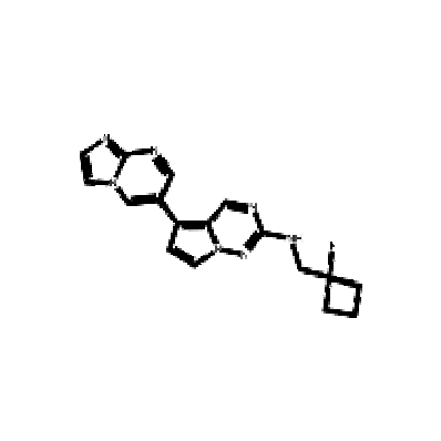 FC1(CNc2ncc3c(-c4cnc5nccn5c4)ccn3n2)CCC1